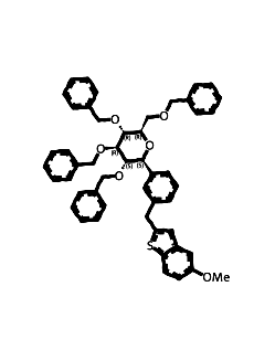 COc1ccc2sc(Cc3cccc([C@@H]4O[C@H](COCc5ccccc5)[C@@H](OCc5ccccc5)[C@H](OCc5ccccc5)[C@H]4OCc4ccccc4)c3)cc2c1